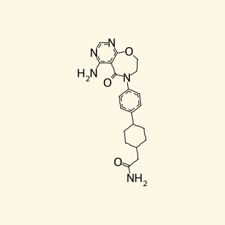 NC(=O)CC1CCC(c2ccc(N3CCOc4ncnc(N)c4C3=O)cc2)CC1